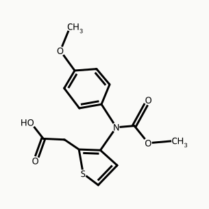 COC(=O)N(c1ccc(OC)cc1)c1ccsc1CC(=O)O